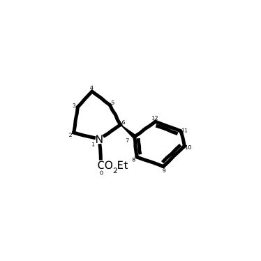 CCOC(=O)N1CCCC[C@H]1c1ccccc1